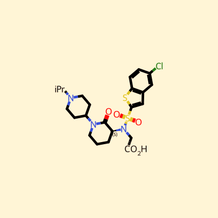 CC(C)N1CCC(N2CCC[C@H](N(CC(=O)O)S(=O)(=O)c3cc4cc(Cl)ccc4s3)C2=O)CC1